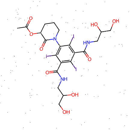 CC(=O)OC1CCCN(c2c(I)c(C(=O)NCC(O)CO)c(I)c(C(=O)NCC(O)CO)c2I)C1=O